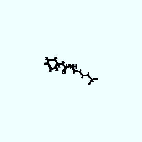 CC(C)CCCCNC(=O)Cc1ccccc1